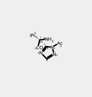 CC(=O)n1cncn1.CC(C)[C@H](N)C(=O)O